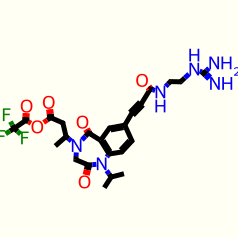 CC(CC(=O)OC(=O)C(F)(F)F)N1CC(=O)N(C(C)C)c2ccc(C#CC(=O)NCCNC(=N)N)cc2C1=O